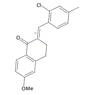 COc1ccc2c(c1)CC/C(=C\c1ccc(C)cc1Cl)C2=O